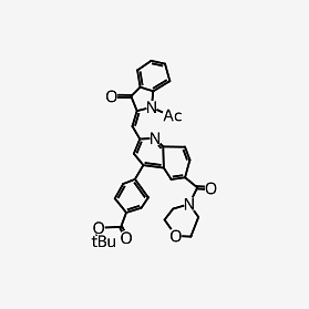 CC(=O)N1/C(=C\c2cc(-c3ccc(C(=O)OC(C)(C)C)cc3)c3cc(C(=O)N4CCOCC4)ccc3n2)C(=O)c2ccccc21